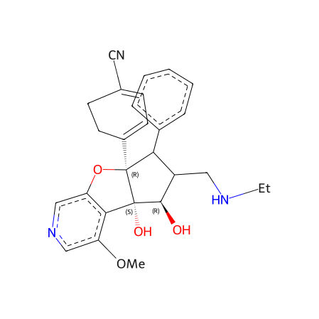 CCNCC1C(c2ccccc2)[C@]2(C3=CC=C(C#N)CC3)Oc3cncc(OC)c3[C@]2(O)[C@@H]1O